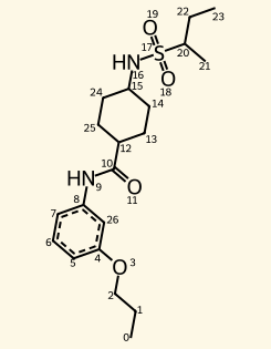 CCCOc1cccc(NC(=O)C2CCC(NS(=O)(=O)C(C)CC)CC2)c1